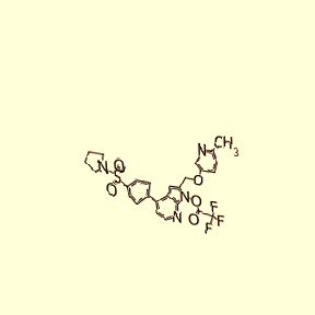 Cc1ccc(OCc2cc3c(-c4ccc(S(=O)(=O)N5CCCC5)cc4)ccnc3n2OC(=O)C(F)(F)F)cn1